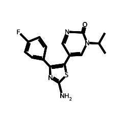 CC(C)n1cc(-c2sc(N)nc2-c2ccc(F)cc2)cnc1=O